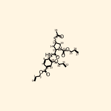 C=CCOC(=O)c1ccc(NC(=O)C2CC(SC(C)=O)CN2C(=O)OCC=C)c(OCC=C)c1